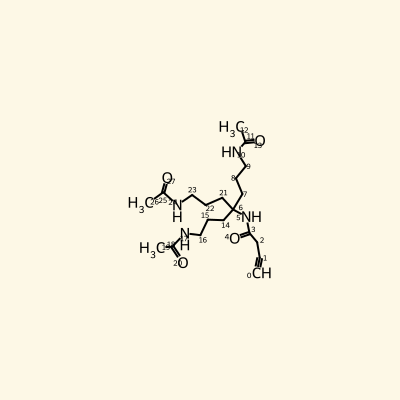 C#CCC(=O)NC(CCCNC(C)=O)(CCCNC(C)=O)CCCNC(C)=O